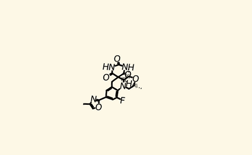 Cc1coc(-c2cc(F)c3c(c2)CC2(C(=O)NC(=O)NC2=O)[C@H]2[C@H](C)O[C@H](C)CN32)n1